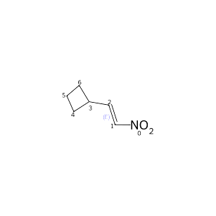 O=[N+]([O-])/C=C/C1CCC1